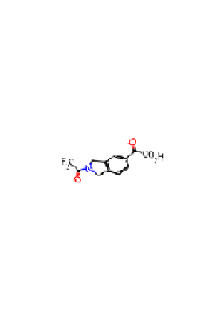 O=C(O)C(=O)c1ccc2c(c1)CN(C(=O)C(F)(F)F)C2